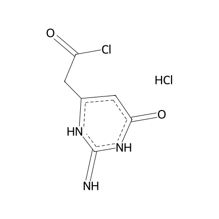 Cl.N=c1[nH]c(CC(=O)Cl)cc(=O)[nH]1